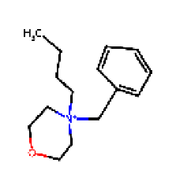 CCCC[N+]1(Cc2ccccc2)CCOCC1